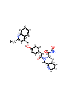 Cc1cc(COc2ccc(CC(=O)N3Cc4ncccc4CC3C(=O)NO)cc2)c2ccccc2n1